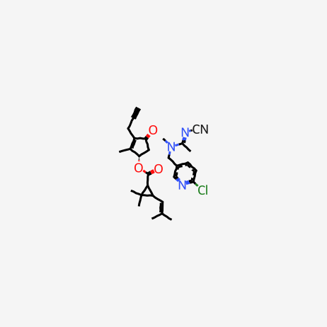 C#CCC1=C(C)[C@@H](OC(=O)C2C(C=C(C)C)C2(C)C)CC1=O.C/C(=N\C#N)N(C)Cc1ccc(Cl)nc1